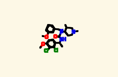 COc1cccc(CN(C(=O)N[C@@H](C)c2ccc(OC)c(Cl)c2Cl)C2CCN(C)CC2C)c1